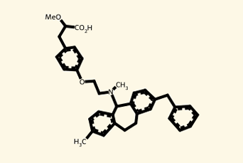 COC(Cc1ccc(OCCN(C)C2c3ccc(C)cc3CCc3cc(Cc4ccccc4)ccc32)cc1)C(=O)O